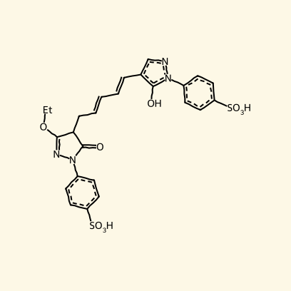 CCOC1=NN(c2ccc(S(=O)(=O)O)cc2)C(=O)C1CC=CC=Cc1cnn(-c2ccc(S(=O)(=O)O)cc2)c1O